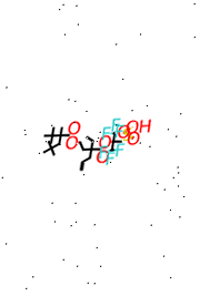 C=CCC(CC)(CCOC(=O)C(C)(CC(C)(C)C)C(C)(C)C)C(=O)OC(CS(=O)(=O)O)(C(F)(F)F)C(F)(F)F